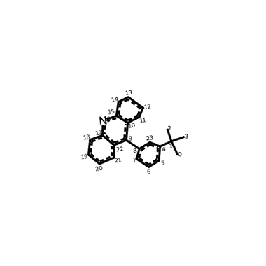 CC(C)(C)c1cccc(-c2c3ccccc3nc3ccccc23)c1